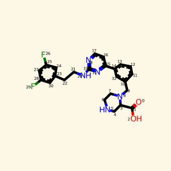 O=C(O)C1CNCCN1Cc1cccc(-c2ccnc(NCCc3cc(F)cc(F)c3)n2)c1